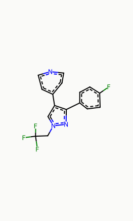 Fc1ccc(-c2nn(CC(F)(F)F)cc2-c2ccncc2)cc1